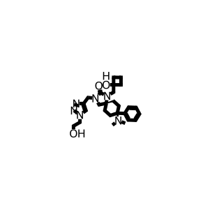 CN(C)[C@]1(c2ccccc2)CC[C@@]2(CC1)CN(Cc1cn(CCO)nn1)C(=O)N2CC1(O)CCC1